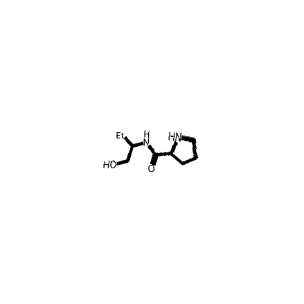 CCC(CO)NC(=O)C1CCCN1